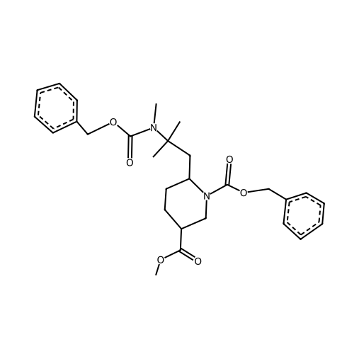 COC(=O)C1CCC(CC(C)(C)N(C)C(=O)OCc2ccccc2)N(C(=O)OCc2ccccc2)C1